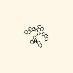 c1ccc2cc(-n3c4ccccc4c4ccc(-c5cc(-c6ccc7sc8ccccc8c7c6)cc(N(c6ccc7oc8c9ccccc9ccc8c7c6)c6cccc7ccccc67)c5)cc43)ccc2c1